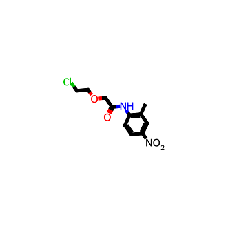 Cc1cc([N+](=O)[O-])ccc1NC(=O)COCCCl